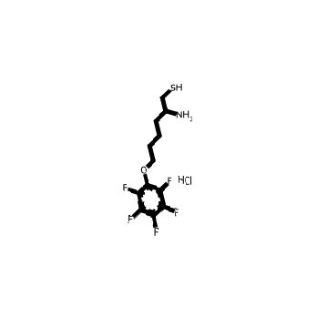 Cl.NC(CS)CCCCOc1c(F)c(F)c(F)c(F)c1F